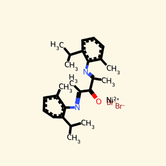 CC(=Nc1c(C)cccc1C(C)C)C(=O)C(C)=Nc1c(C)cccc1C(C)C.[Br-].[Br-].[Ni+2]